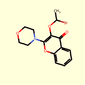 CC(Br)Oc1c(N2CCOCC2)oc2ccccc2c1=O